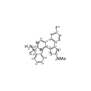 CNc1nc(-c2ccc(F)cc2)c(-c2ccnc([C@@](C)(N)c3ccccc3)n2)s1